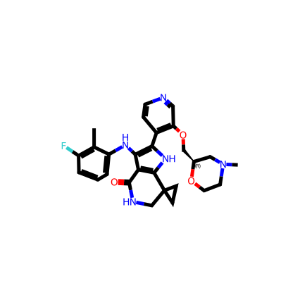 Cc1c(F)cccc1Nc1c(-c2ccncc2OC[C@H]2CN(C)CCO2)[nH]c2c1C(=O)NCC21CC1